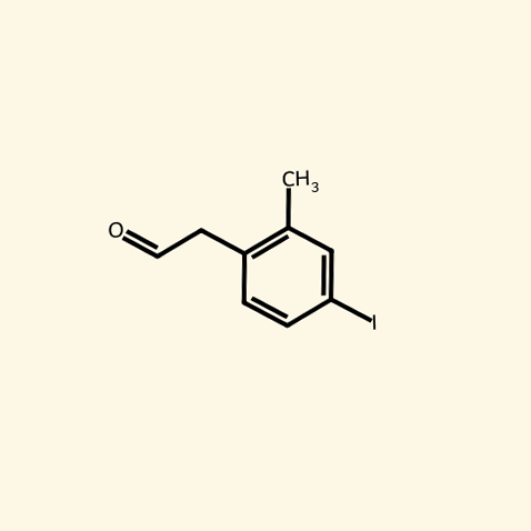 Cc1cc(I)ccc1CC=O